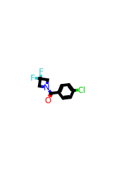 O=C(c1ccc(Cl)cc1)N1CC(F)(F)C1